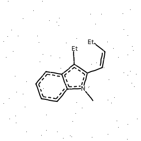 CC/C=C\c1c(CC)c2ccccc2n1C